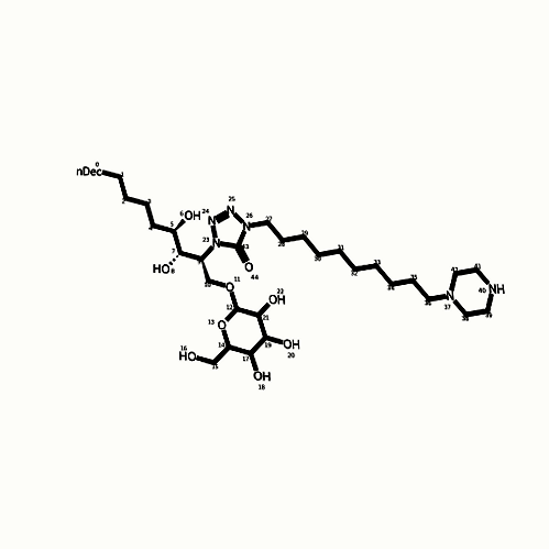 CCCCCCCCCCCCCC[C@@H](O)[C@@H](O)[C@H](COC1OC(CO)C(O)C(O)C1O)n1nnn(CCCCCCCCCCN2CCNCC2)c1=O